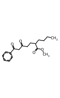 CCCCC(CCC(=O)CC(=O)c1ccccc1)C(=O)OC